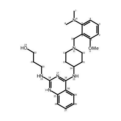 COc1cccc(N(C)C)c1CN1CCC(Nc2nc(NCCCO)nc3ccccc23)CC1